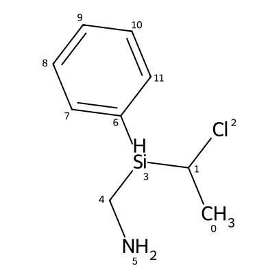 CC(Cl)[SiH](CN)c1ccccc1